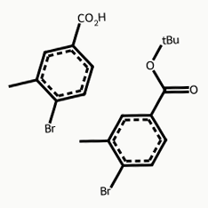 Cc1cc(C(=O)O)ccc1Br.Cc1cc(C(=O)OC(C)(C)C)ccc1Br